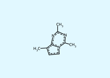 Cc1nc(C)n2ccc(C)c2n1